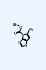 CC(C)c1cc2scnc2n1C(=O)OC(C)(C)C